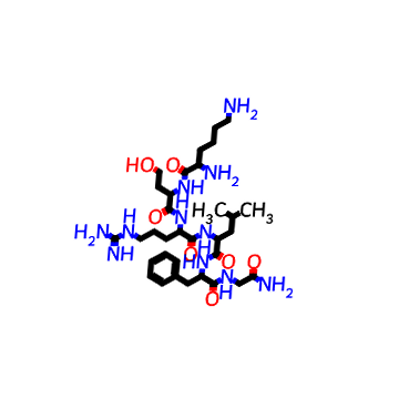 CC(C)CC(NC(=O)C(CCCNC(=N)N)NC(=O)C(CCO)NC(=O)C(N)CCCCN)C(=O)NC(Cc1ccccc1)C(=O)NCC(N)=O